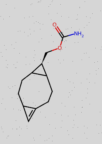 NC(=O)OC[C@H]1C2CCC3=CC3CCC21